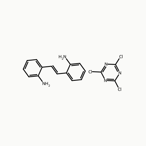 Clc1nc(Cl)nc(Cl)n1.Nc1ccccc1/C=C/c1ccccc1N